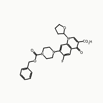 O=C(O)c1cn(C2CCCO2)c2cc(N3CCN(C(=O)OCc4ccccc4)CC3)c(F)cc2c1=O